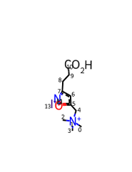 C[N+](C)(C)Cc1cc(CCC(=O)O)no1.[I-]